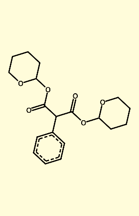 O=C(OC1CCCCO1)C(C(=O)OC1CCCCO1)c1ccccc1